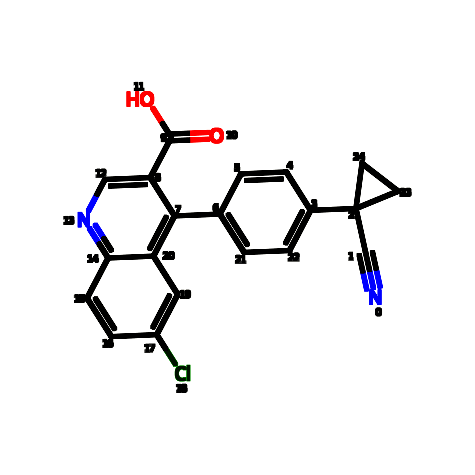 N#CC1(c2ccc(-c3c(C(=O)O)cnc4ccc(Cl)cc34)cc2)CC1